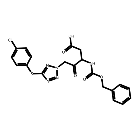 O=C(O)CC(NC(=O)OCc1ccccc1)C(=O)Cn1nnc(Sc2ccc(Cl)cc2)n1